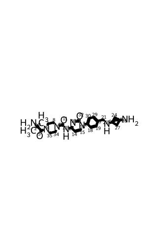 CC(C)(N)C(=O)N1CCN(C(=O)Nc2ccn(-c3ccc(CNC45CC(N)(C4)C5)cc3)c(=O)n2)CC1